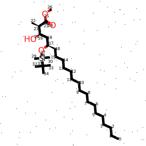 CCCCCCCCCCCCCCCCC[C@H](C[C@@H](O)[C@@H](C)C(=O)OC)O[Si](C)(C)C(C)(C)C